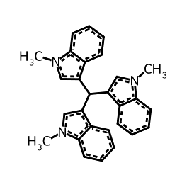 Cn1cc(C(c2cn(C)c3ccccc23)c2cn(C)c3ccccc23)c2ccccc21